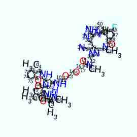 CC[C@H](NC(=O)[C@H]1C[C@@H](NCCOCCOCCC(=O)N(C)CCn2nc3c(c2C#N)-c2cnc(N)c(c2)N2CCC[C@@H]2c2cc(F)ccc2C(=O)N(C)C3)CN1C(=O)[C@H](NC(=O)[C@@H](C)NC)C(C)(C)C)c1ccccc1